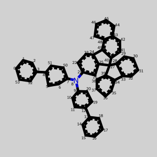 c1ccc(-c2ccc(N(c3ccc(-c4ccccc4)cc3)c3ccc4c(c3)C3(c5ccccc5-c5ccccc53)c3ccc5ccccc5c3-4)cc2)cc1